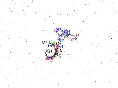 COc1cc2cc(c1Cl)N(C)C(=O)C[C@H](OC(=O)Nc1cc(F)c(NC(=O)[C@H](CCCNC(N)=O)NC[C@@](C=O)(NC(=S)NCCCCN3C(=O)C=CC3=O)C(C)C)cc1Cl)[C@]1(C)O[C@H]1[C@H](C)[C@@H]1C[C@@](O)(NC(=O)O1)[C@H](OC)/C=C/C=C(\C)C2